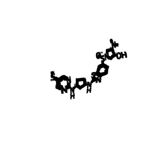 CSc1cnc(N[C@H]2CC[C@H](Nc3nc4ccc([S+]([O-])N5C[C@@H](N(C)C)[C@@H](O)C5)cc4s3)C2)nc1